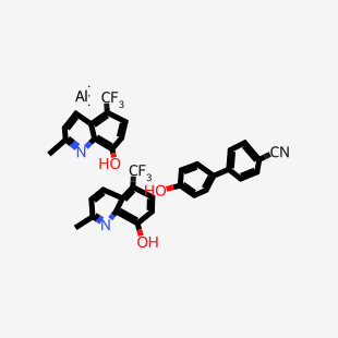 Cc1ccc2c(C(F)(F)F)ccc(O)c2n1.Cc1ccc2c(C(F)(F)F)ccc(O)c2n1.N#Cc1ccc(-c2ccc(O)cc2)cc1.[Al]